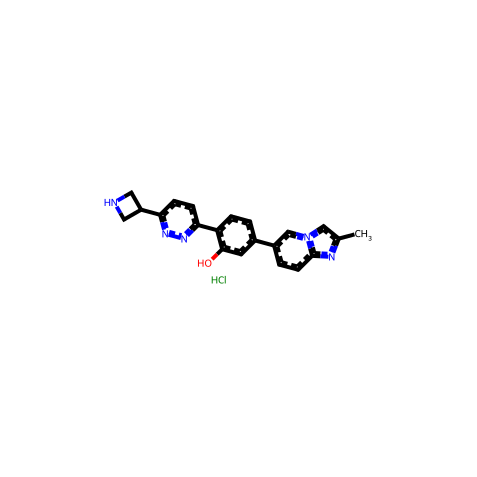 Cc1cn2cc(-c3ccc(-c4ccc(C5CNC5)nn4)c(O)c3)ccc2n1.Cl